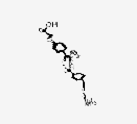 C[C@H](NC(=O)c1ccc(C=NN)cc1)C(=O)c1ccc(OCC(=O)O)cc1.Cl